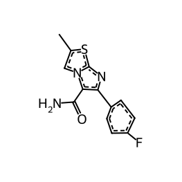 Cc1cn2c(C(N)=O)c(-c3ccc(F)cc3)nc2s1